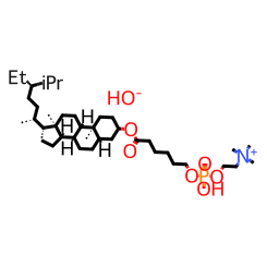 CC[C@H](CC[C@@H](C)[C@H]1CC[C@H]2[C@@H]3CC[C@H]4CC(OC(=O)CCCCCOP(=O)(O)OCC[N+](C)(C)C)CC[C@]4(C)[C@H]3CC[C@]12C)C(C)C.[OH-]